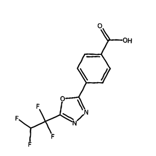 O=C(O)c1ccc(-c2nnc(C(F)(F)C(F)F)o2)cc1